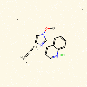 C=C=C.CCOn1ccnc1.Cl.c1ccc2ncccc2c1